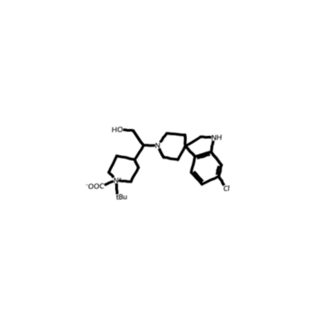 CC(C)(C)[N+]1(C(=O)[O-])CCC(C(CO)N2CCC3(CC2)CNc2cc(Cl)ccc23)CC1